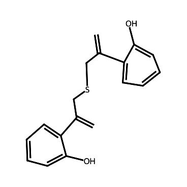 C=C(CSCC(=C)c1ccccc1O)c1ccccc1O